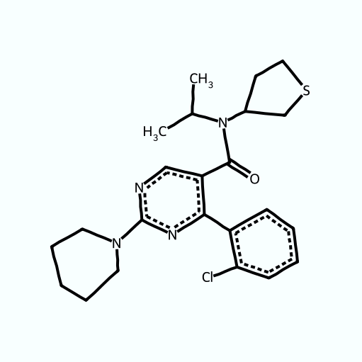 CC(C)N(C(=O)c1cnc(N2CCCCC2)nc1-c1ccccc1Cl)C1CCSC1